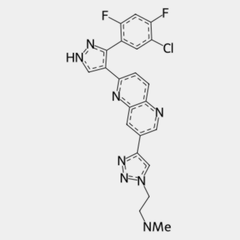 CNCCn1cc(-c2cnc3ccc(-c4c[nH]nc4-c4cc(Cl)c(F)cc4F)nc3c2)nn1